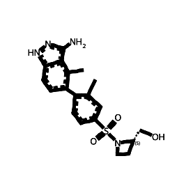 Cc1cc(S(=O)(=O)N2CC[C@H]2CO)ccc1-c1ccc2[nH]nc(N)c2c1C